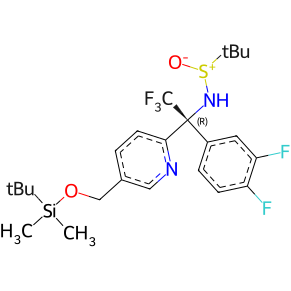 CC(C)(C)[S+]([O-])N[C@](c1ccc(F)c(F)c1)(c1ccc(CO[Si](C)(C)C(C)(C)C)cn1)C(F)(F)F